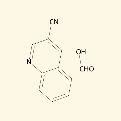 N#Cc1cnc2ccccc2c1.O=CO